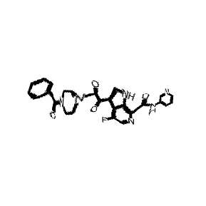 O=C(Nc1cccnc1)c1ncc(F)c2c(C(=O)C(=O)N3CCN(C(=O)c4ccccc4)CC3)c[nH]c12